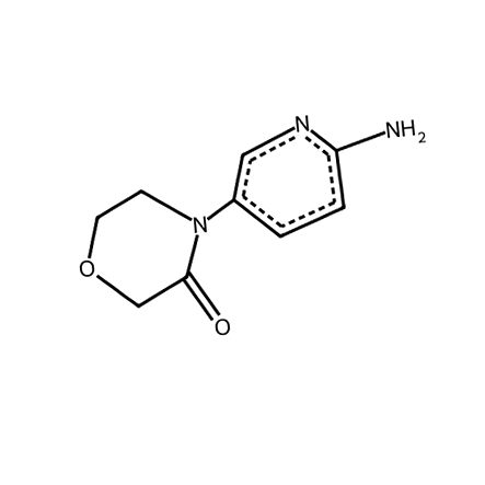 Nc1ccc(N2CCOCC2=O)cn1